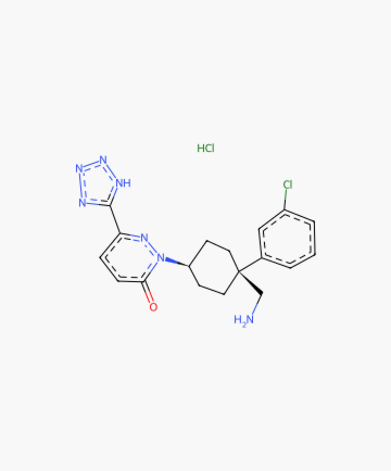 Cl.NC[C@]1(c2cccc(Cl)c2)CC[C@H](n2nc(-c3nnn[nH]3)ccc2=O)CC1